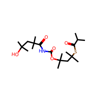 CC(C)C(=O)SC(C)(C)CC(C)(C)OC(=O)NC(=O)C(C)(C)CC(C)(C)O